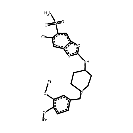 CCOc1cc(CN2CCC(Nc3nc4cc(Cl)c(S(N)(=O)=O)cc4o3)CC2)ccc1OC(C)C